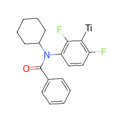 O=C(c1ccccc1)N(c1ccc(F)[c]([Ti])c1F)C1CCCCC1